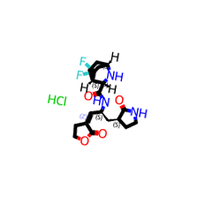 Cl.O=C1OCC/C1=C/[C@H](C[C@@H]1CCNC1=O)NC(=O)[C@H]1N[C@H]2CC[C@@H]1C(F)(F)C2